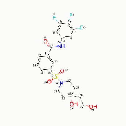 O=C(Nc1cc(F)c(F)c(F)c1)c1cccc(S(=O)(=O)N2CCC(O)(CCO)CC2)c1